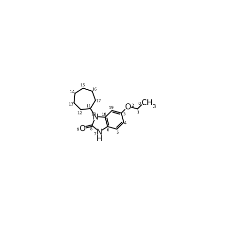 CCOc1ccc2[nH]c(=O)n(C3CCCCCC3)c2c1